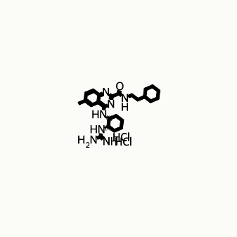 Cc1ccc2nc(C(=O)NCCC3CCCCC3)nc(N[C@H]3CCCC[C@H]3NC(=N)N)c2c1.Cl.Cl